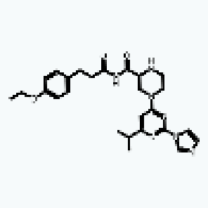 CCOc1ccc(CCC(=O)NC(=O)C2CN(c3cc(C(C)C)nc(-n4ccnc4)n3)CCN2)cc1